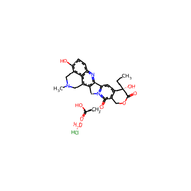 CC(=O)O.CC[C@@]1(O)C(=O)OCc2c1cc1n(c2=O)Cc2c-1nc1ccc(O)c3c1c2CN(C)C3.Cl.O